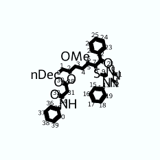 CCCCCCCCCCCC(CCC(OC)C(Sc1nnnn1-c1ccccc1)C(=O)c1ccccc1)OC(=O)CC(=O)Nc1ccccc1